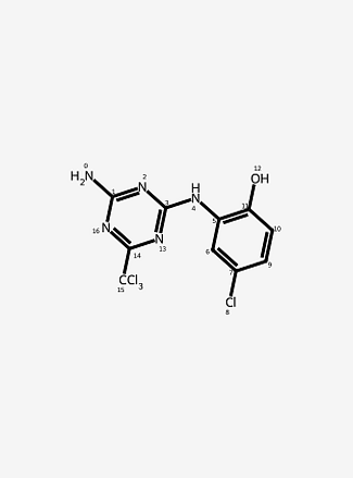 Nc1nc(Nc2cc(Cl)ccc2O)nc(C(Cl)(Cl)Cl)n1